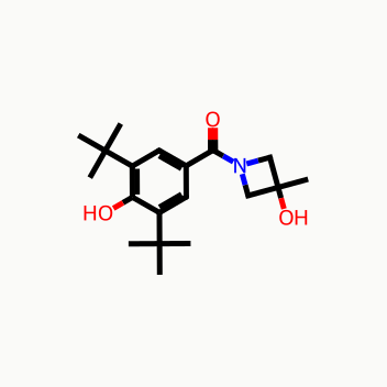 CC1(O)CN(C(=O)c2cc(C(C)(C)C)c(O)c(C(C)(C)C)c2)C1